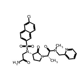 C[C@@H](C(=O)N(C)Cc1ccccn1)N1CC[C@H](N(CC(N)=O)S(=O)(=O)c2ccc3cc(Cl)ccc3c2)C1=O